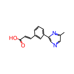 Cc1cncc(-c2cccc(/C=C/C(=O)O)c2)n1